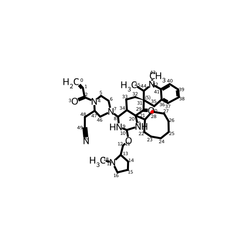 C=CC(=O)N1CCN(C2NC(OCC3CCCN3C)NC3(C4CCCCCCC4)C(=O)[C@@]4(CCC23)Cc2ccccc2N(C)C4C)CC1CC#N